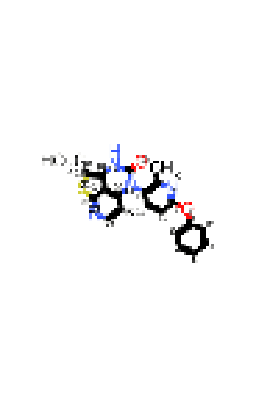 Cc1nc(Oc2ccccc2)ccc1N1C(=O)Nc2c(C(=O)O)sc3nccc1c23